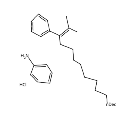 CCCCCCCCCCCCCCCCCCC(=C(C)C)c1ccccc1.Cl.Nc1ccccc1